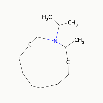 CC(C)N1CCCCCCCCCC1C